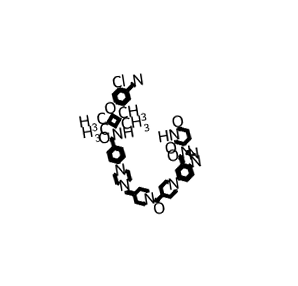 CC1(C)[C@H](NC(=O)c2ccc(N3CCN(C=C4CCN(C(=O)C5CCN(c6ccc7nnn(C8CCC(=O)NC8=O)c(=O)c7c6)CC5)CC4)CC3)cc2)C(C)(C)[C@H]1Oc1ccc(C#N)c(Cl)c1